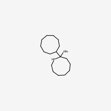 CCCCC1(C2CCCCCCCC2)CCCCCCCP1